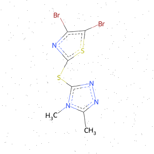 Cc1nnc(Sc2nc(Br)c(Br)s2)n1C